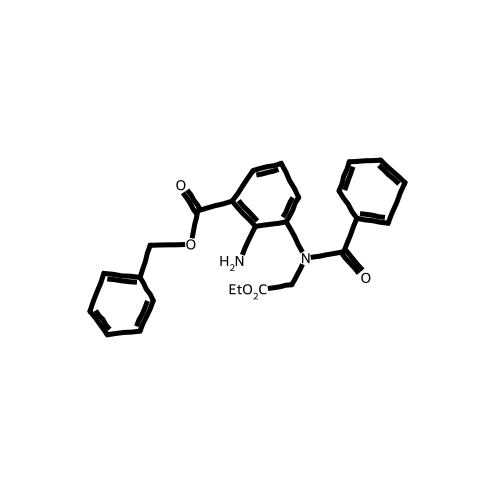 CCOC(=O)CN(C(=O)c1ccccc1)c1cccc(C(=O)OCc2ccccc2)c1N